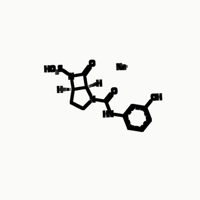 O=C(Nc1cccc(O)c1)N1CC[C@@H]2[C@H]1C(=O)N2S(=O)(=O)O.[Na]